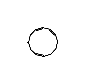 [CH]1CC=CC=CCCCC=CC1